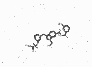 COC(=O)C(C)(C)Oc1cccc(Cc2cn(CC(C)C)c3cc(C(=O)N[C@@H](C)c4cccc(C(C)(C)C)c4)ccc23)c1